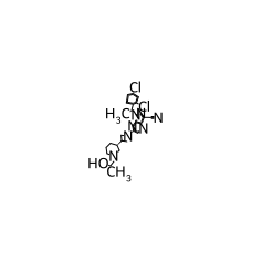 CC(O)CN1CCC[C@@H](C2CN(c3cnc4c(C#N)nn([C@H](C)c5ccc(Cl)cc5Cl)c4n3)C2)C1